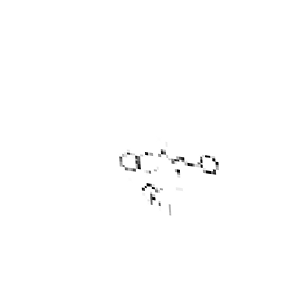 Cc1nn(C)c(C)c1C1CN(C(=O)c2cc(-c3ccccc3)on2)Cc2ccccc21